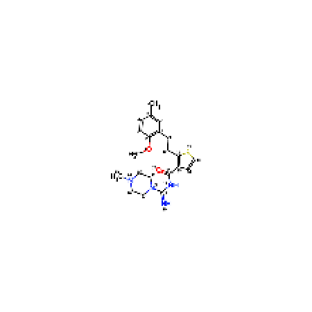 COc1ccc(C)cc1CCc1sccc1C(=O)NC(=N)N1CCN(C)CC1